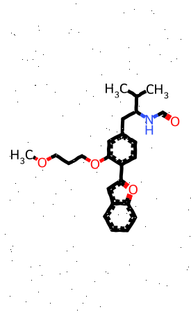 COCCCOc1cc(CC(NC=O)C(C)C)ccc1-c1cc2ccccc2o1